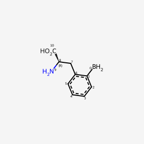 Bc1ccccc1C[C@@H](N)C(=O)O